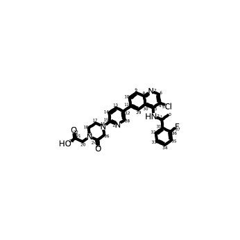 CC(Nc1c(Cl)cnc2ccc(-c3ccc(N4CCN(CC(=O)O)C(=O)C4)nc3)cc12)c1ccccc1F